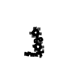 CCCCCC(C)(C)c1ccc(OC(=O)c2ccccc2)cc1